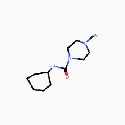 CC(C)N1CCN(C(=O)NC2CCCCC2)CC1